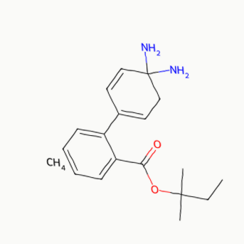 C.CCC(C)(C)OC(=O)c1ccccc1C1=CCC(N)(N)C=C1